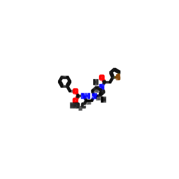 O=C(N[C@@H](CN1C[C@@H]2C[C@H]1CN2C(=O)Cc1cccs1)C(=O)O)OCc1ccccc1